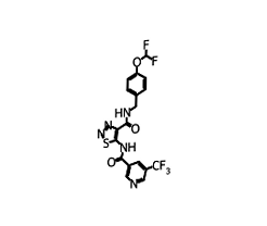 O=C(Nc1snnc1C(=O)NCc1ccc(OC(F)F)cc1)c1cncc(C(F)(F)F)c1